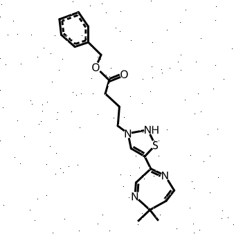 CC1(C)C=CN=C(C2=CN(CCCC(=O)OCc3ccccc3)NS2)C=N1